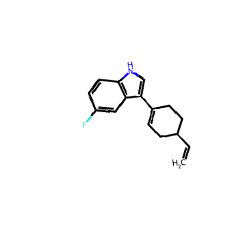 C=CC1CC=C(c2c[nH]c3ccc(F)cc23)CC1